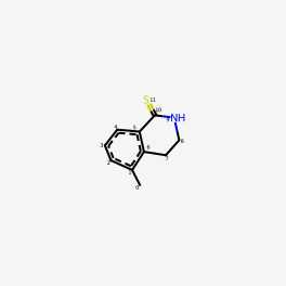 Cc1cccc2c1CCNC2=S